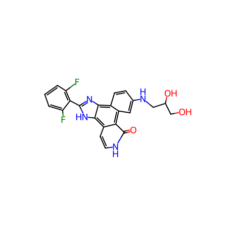 O=c1[nH]ccc2c3[nH]c(-c4c(F)cccc4F)nc3c3ccc(NCC(O)CO)cc3c12